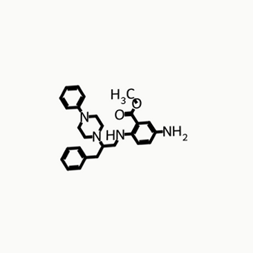 COC(=O)c1cc(N)ccc1NCC(Cc1ccccc1)N1CCN(c2ccccc2)CC1